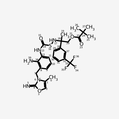 Cc1coc(=N)n1Cc1cccc(NC(=O)SNC(C)(COC(=O)C(C)(C)C)c2cccc(C(F)(F)F)c2)c1N